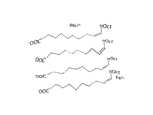 CCCCCCCC/C=C\CCCCCCCC(=O)[O-].CCCCCCCC/C=C\CCCCCCCC(=O)[O-].CCCCCCCC/C=C\CCCCCCCC(=O)[O-].CCCCCCCC/C=C\CCCCCCCC(=O)[O-].[Fe+2].[Mn+2]